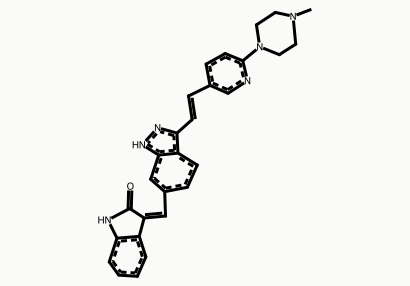 CN1CCN(c2ccc(/C=C/c3n[nH]c4cc(C=C5C(=O)Nc6ccccc65)ccc34)cn2)CC1